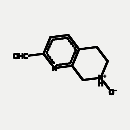 O=Cc1ccc2c(n1)C[NH+]([O-])CC2